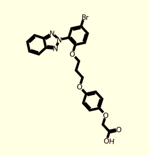 O=C(O)COc1ccc(OCCCOc2ccc(Br)cc2-n2nc3ccccc3n2)cc1